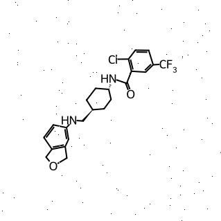 O=C(N[C@H]1CC[C@H](CNc2ccc3c(c2)COC3)CC1)c1cc(C(F)(F)F)ccc1Cl